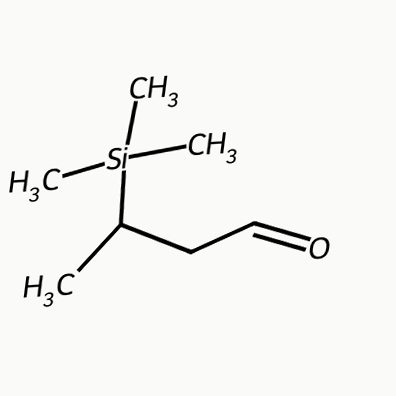 CC(CC=O)[Si](C)(C)C